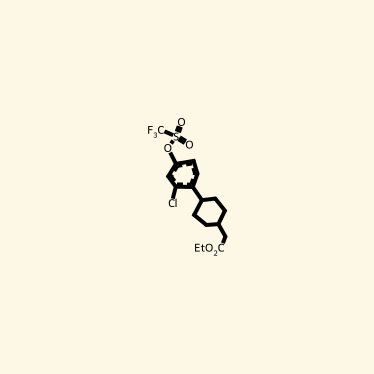 CCOC(=O)CC1CCC(c2ccc(OS(=O)(=O)C(F)(F)F)cc2Cl)CC1